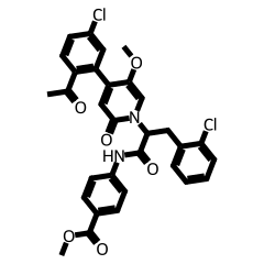 COC(=O)c1ccc(NC(=O)C(Cc2ccccc2Cl)n2cc(OC)c(-c3cc(Cl)ccc3C(C)=O)cc2=O)cc1